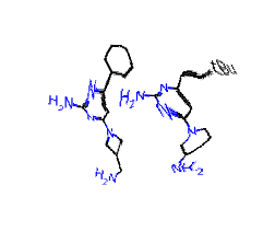 CC(C)(C)C=Cc1cc(N2CC[C@@H](N)C2)nc(N)n1.NCC1CN(c2cc(C3CCCCC3)nc(N)n2)C1